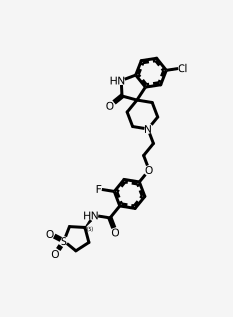 O=C(N[C@H]1CCS(=O)(=O)C1)c1ccc(OCCN2CCC3(CC2)C(=O)Nc2ccc(Cl)cc23)cc1F